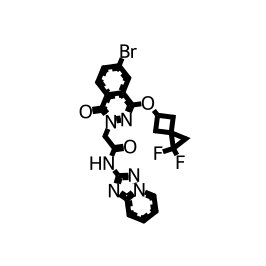 O=C(Cn1nc(OC2CC3(C2)CC3(F)F)c2cc(Br)ccc2c1=O)Nc1nc2ccccn2n1